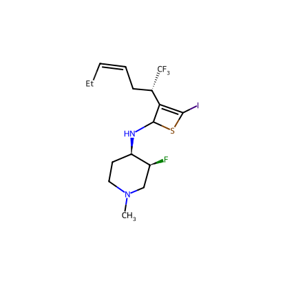 CC/C=C\C[C@@H](C1=C(I)SC1N[C@@H]1CCN(C)C[C@@H]1F)C(F)(F)F